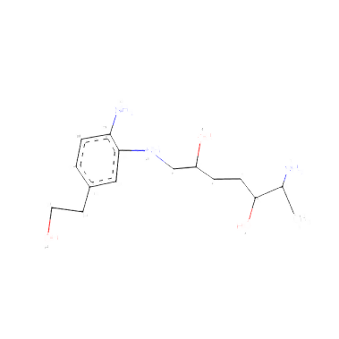 CC(N)C(O)CCC(O)CNc1cc(CCO)ccc1N